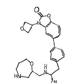 N#C[C@H](Cc1ccc(-c2ccc3oc(=O)n(C4COC4)c3c2)cc1)NCC1CNCCCO1